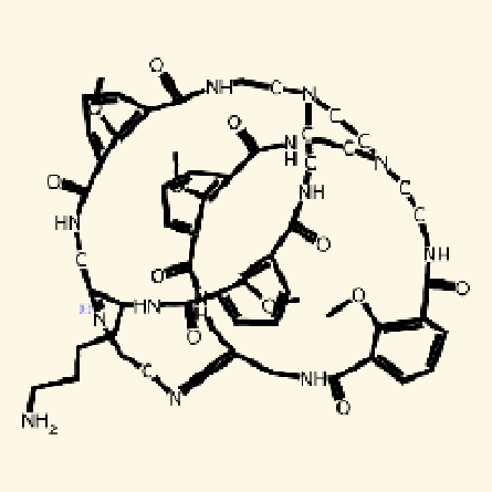 COc1c2cccc1C(=O)NCC1=NCC/N=C3\CNC(=O)c4cccc(c4OC)C(=O)NCCN(CCNC(=O)c4cccc(c4OC)C(=O)NC3CCCCN)CCN(CCNC2=O)CCNC(=O)c2cccc(c2OC)C(=O)NC1